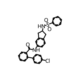 O=C(Nc1ccc2c(c1)CC(NS(=O)(=O)c1ccccc1)C2)c1ccccc1-c1ccc(Cl)cc1